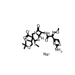 CON=C(C(=O)NC1C(=O)N2CC(C(=O)[O-])(C3COC(C)(C)O3)C(SC)S[C@H]12)c1csc(N)n1.[Na+]